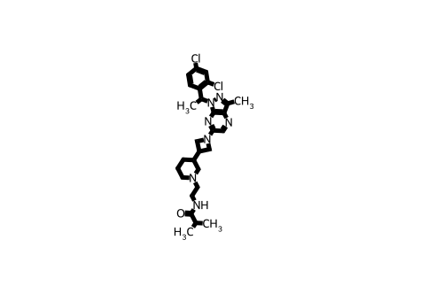 Cc1nn(C(C)c2ccc(Cl)cc2Cl)c2nc(N3CC(C4CCCN(CCNC(=O)C(C)C)C4)C3)cnc12